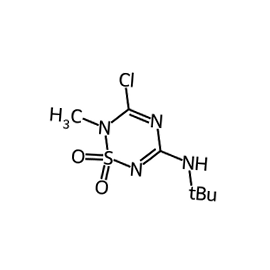 CN1C(Cl)=NC(NC(C)(C)C)=NS1(=O)=O